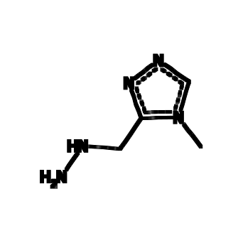 Cn1cnnc1CNN